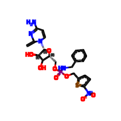 C=C1N=C(N)C=CN1[C@@H]1O[C@H](COP(=O)(NCc2ccccc2)OCc2ccc([N+](=O)[O-])s2)C(O)[C@H]1O